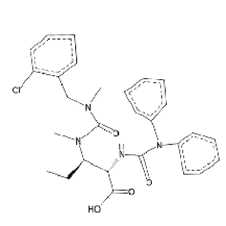 CC[C@H]([C@H](NC(=O)N(c1ccccc1)c1ccccc1)C(=O)O)N(C)C(=O)N(C)Cc1ccccc1Cl